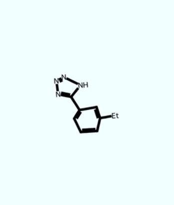 CCc1cccc(-c2nnn[nH]2)c1